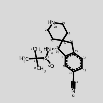 CC(C)(C)[S+]([O-])N[C@H]1c2cc(C#N)ccc2CC12CCNCC2